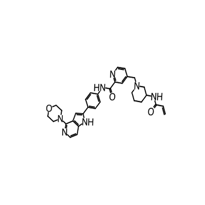 C=CC(=O)NC1CCCN(Cc2ccnc(C(=O)Nc3ccc(-c4cc5c(N6CCOCC6)nccc5[nH]4)cc3)c2)C1